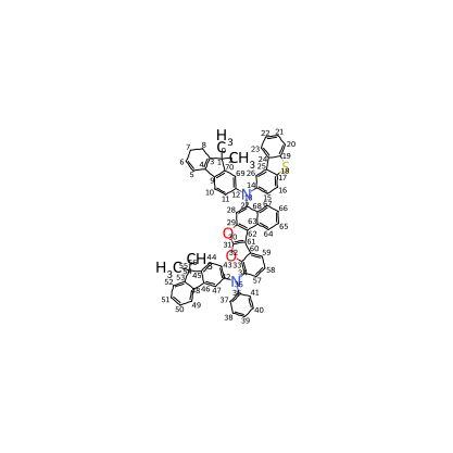 CC1(C)C2=C(C=CCC2)c2ccc(N(c3ccc4sc5ccccc5c4c3)c3cc4oc5oc6c(N(c7ccccc7)c7ccc8c(c7)-c7ccccc7C8(C)C)cccc6c5c4c4ccccc34)cc21